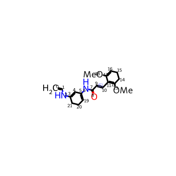 C=CNC1=CC(NC(=O)/C=C/C2=C(OC)CCC=C2OC)=CCC1